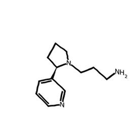 NCCCN1CCC[C@@H]1c1cccnc1